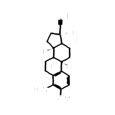 C#C[C@]1(O)CC[C@H]2[C@@H]3CCc4c(ccc(OC)c4N)[C@H]3CC[C@@]21C